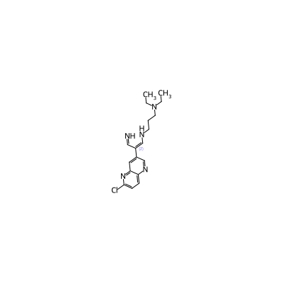 CCN(CC)CCCN/C=C(\C=N)c1cnc2ccc(Cl)nc2c1